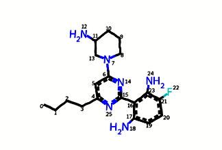 CCCCc1cc(N2CCCC(N)C2)nc(-c2c(N)ccc(F)c2N)n1